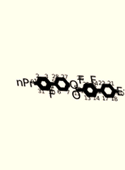 CCCc1ccc(C2CCC(OC(=O)c3ccc(C4CCC(CC)CC4)c(F)c3F)CC2)c(F)c1